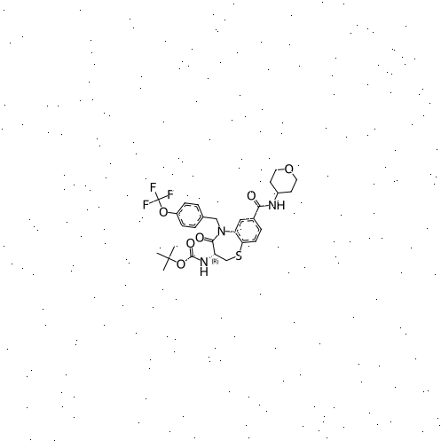 CC(C)(C)OC(=O)N[C@H]1CSc2ccc(C(=O)NC3CCOCC3)cc2N(Cc2ccc(OC(F)(F)F)cc2)C1=O